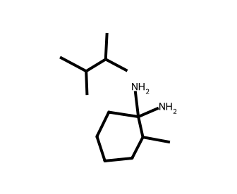 CC(C)C(C)C.CC1CCCCC1(N)N